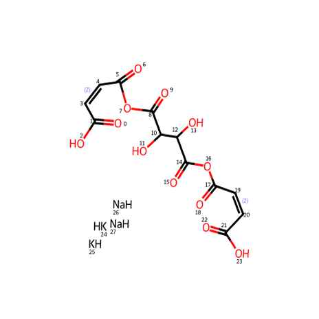 O=C(O)/C=C\C(=O)OC(=O)C(O)C(O)C(=O)OC(=O)/C=C\C(=O)O.[KH].[KH].[NaH].[NaH]